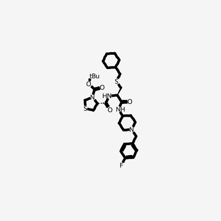 CC(C)(C)OC(=O)N1CSC[C@H]1C(=O)N[C@@H](CSCC1CCCCC1)C(=O)NC1CCN(Cc2ccc(F)cc2)CC1